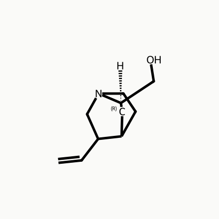 C=CC1CN2CCC1C[C@@H]2CO